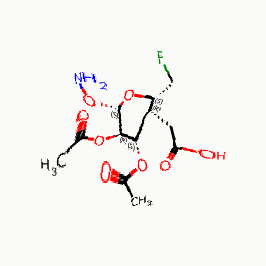 CC(=O)O[C@H]1[C@H](ON)O[C@H](CF)[C@H](CC(=O)O)[C@@H]1OC(C)=O